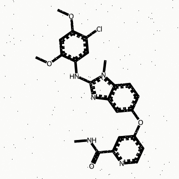 CNC(=O)c1cc(Oc2ccc3c(c2)nc(Nc2cc(Cl)c(OC)cc2OC)n3C)ccn1